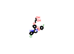 O=C(Oc1ccc(F)cc1)N1CCc2c([nH]c3ccc(Cl)cc23)C1c1ccc(OCC[C@H](O)CO)cc1